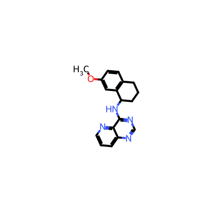 COc1ccc2c(c1)C(Nc1ncnc3cccnc13)CCC2